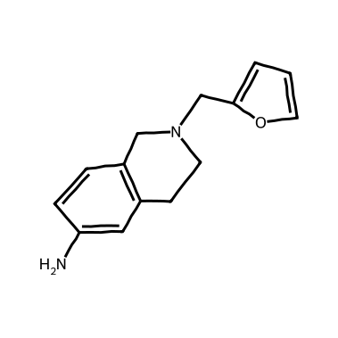 Nc1ccc2c(c1)CCN(Cc1ccco1)C2